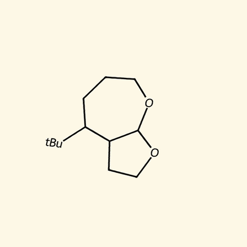 CC(C)(C)C1CCCOC2OCCC21